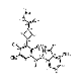 COc1c(C(C)n2nc(C)c3c(N)cncc32)cc(Cl)c(Cl)c1C1CN(C(=O)OC(C)(C)C)C1